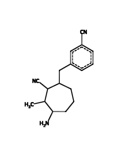 CC1C(N)CCCC(Cc2cccc(C#N)c2)C1C#N